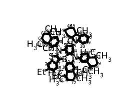 CCc1cc2sc3c(c2cc1CC)B1c2cc4c(cc2N(c2ccc5c(c2)C(C)(C)CCC5(C)C)c2cc(N5c6ccccc6C6(C)CCCCC56C)cc(c21)N3c1ccc2c(c1)C(C)(C)CCC2(C)C)C(C)(C)CCC4(C)C